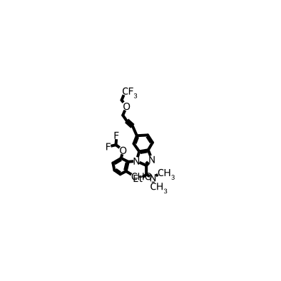 CCC(c1nc2ccc(C#CCOCC(F)(F)F)cc2n1-c1c(C=O)cccc1OC(F)F)N(C)C